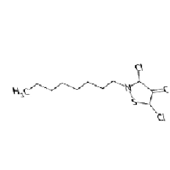 CCCCCCCCN1SC(Cl)C(=O)C1Cl